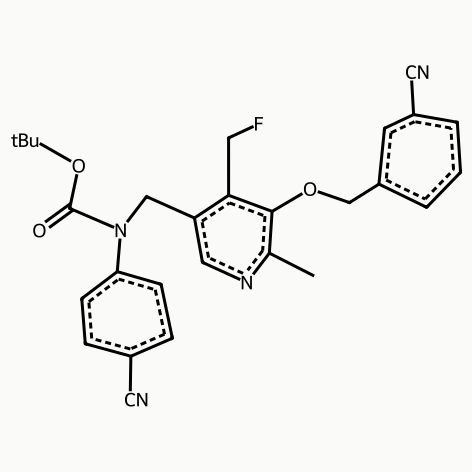 Cc1ncc(CN(C(=O)OC(C)(C)C)c2ccc(C#N)cc2)c(CF)c1OCc1cccc(C#N)c1